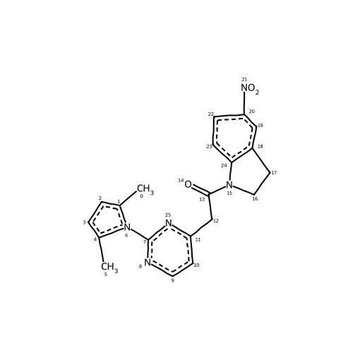 Cc1ccc(C)n1-c1nccc(CC(=O)N2CCc3cc([N+](=O)[O-])ccc32)n1